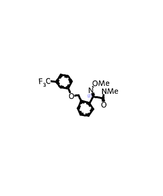 CNC(=O)/C(=N\OC)c1ccccc1COc1cccc(C(F)(F)F)c1